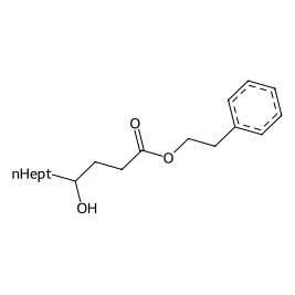 CCCCCCCC(O)CCC(=O)OCCc1ccccc1